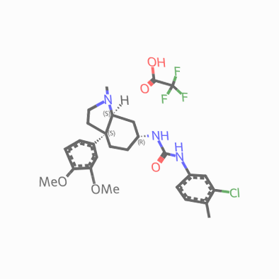 COc1ccc([C@@]23CC[C@@H](NC(=O)Nc4ccc(C)c(Cl)c4)C[C@@H]2N(C)CC3)cc1OC.O=C(O)C(F)(F)F